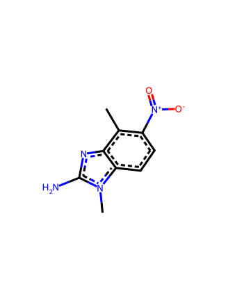 Cc1c([N+](=O)[O-])ccc2c1nc(N)n2C